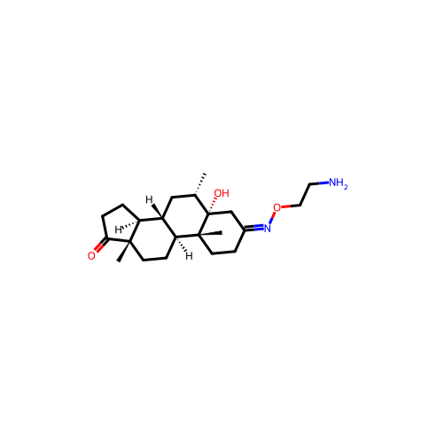 C[C@H]1C[C@H]2[C@@H]3CCC(=O)[C@@]3(C)CC[C@@H]2[C@@]2(C)CC/C(=N/OCCN)C[C@]12O